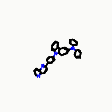 C1=C(N(c2ccccc2)c2ccccc2)CCc2c1c1ccccc1n2-c1ccc(-c2ccc3ncccc3n2)cc1